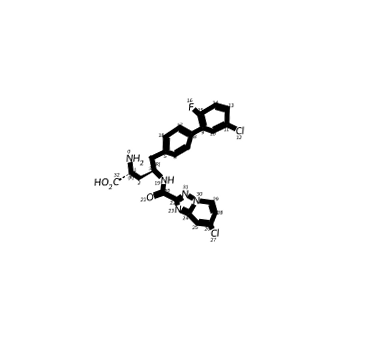 N[C@H](C[C@@H](Cc1ccc(-c2cc(Cl)ccc2F)cc1)NC(=O)c1nc2cc(Cl)ccn2n1)C(=O)O